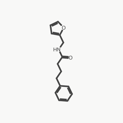 O=C(CCCc1cc[c]cc1)NCc1ccco1